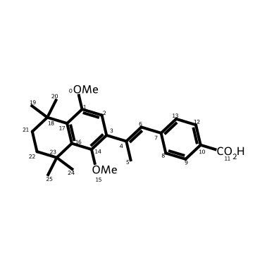 COc1cc(C(C)=Cc2ccc(C(=O)O)cc2)c(OC)c2c1C(C)(C)CCC2(C)C